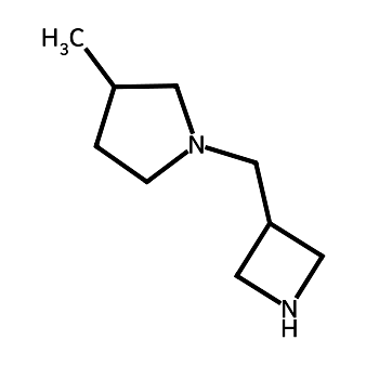 CC1CCN(CC2CNC2)C1